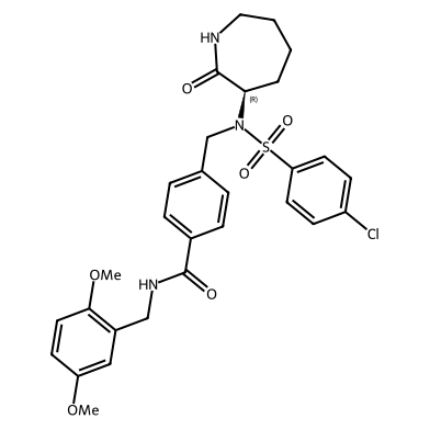 COc1ccc(OC)c(CNC(=O)c2ccc(CN([C@@H]3CCCCNC3=O)S(=O)(=O)c3ccc(Cl)cc3)cc2)c1